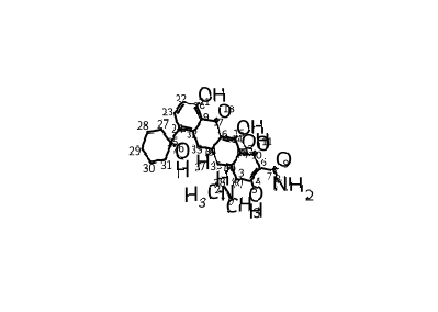 CN(C)[C@H]1C(O)=C(C(N)=O)C(=O)[C@]2(O)C(O)=C3C(=O)c4c(O)ccc(C5(O)CCCCC5)c4C[C@@H]3C[C@H]12